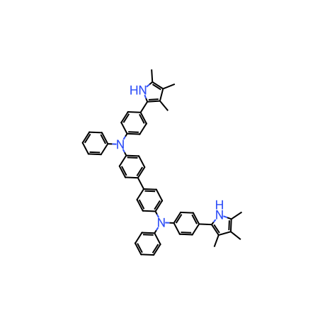 Cc1[nH]c(-c2ccc(N(c3ccccc3)c3ccc(-c4ccc(N(c5ccccc5)c5ccc(-c6[nH]c(C)c(C)c6C)cc5)cc4)cc3)cc2)c(C)c1C